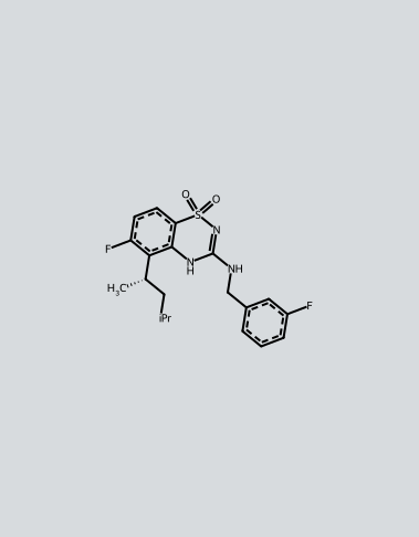 CC(C)C[C@H](C)c1c(F)ccc2c1NC(NCc1cccc(F)c1)=NS2(=O)=O